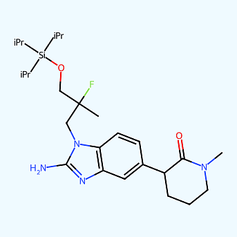 CC(C)[Si](OCC(C)(F)Cn1c(N)nc2cc(C3CCCN(C)C3=O)ccc21)(C(C)C)C(C)C